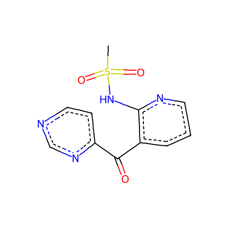 CS(=O)(=O)Nc1ncccc1C(=O)c1ccncn1